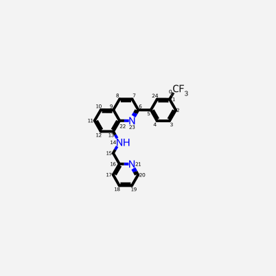 FC(F)(F)c1cccc(-c2ccc3cccc(NCc4ccccn4)c3n2)c1